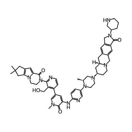 C[C@H]1CN([C@@H]2CCN3Cc4cc5c(cc4C[C@H]3C2)CN(C2CCCNC2)C5=O)CCN1c1ccc(Nc2cc(-c3ccnc(N4CCn5c(cc6c5CC(C)(C)C6)C4=O)c3CO)cn(C)c2=O)nc1